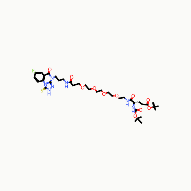 CC(C)(C)OC(=O)CC[C@H](NC(=O)OC(C)(C)C)C(=O)NCCOCCOCCOCCOCCC(=O)NCCCn1c(=O)c2cc(F)ccc2n2c(=S)[nH]nc12